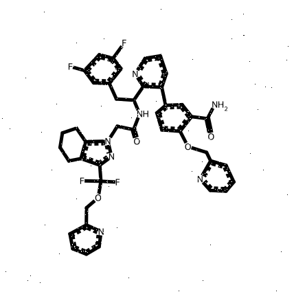 NC(=O)c1cc(-c2cccnc2C(Cc2cc(F)cc(F)c2)NC(=O)Cn2nc(C(F)(F)OCc3ccccn3)c3c2CCCC3)ccc1OCc1ccccn1